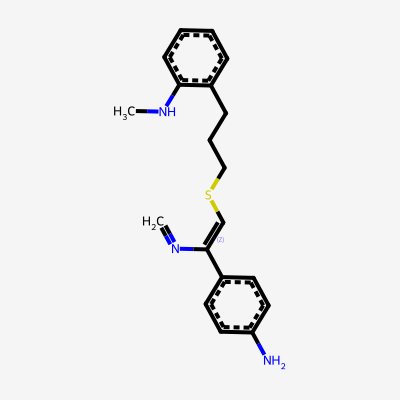 C=N/C(=C\SCCCc1ccccc1NC)c1ccc(N)cc1